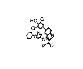 O=C(c1cnc2ccc(-c3cc(Cl)c(O)c(Cl)c3)cc2c1Nc1cnn(C2CCCCC2)c1)C1CC1